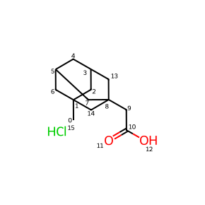 CC12CC3CC(C1)CC(CC(=O)O)(C3)C2.Cl